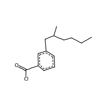 CCCCC(C)Cc1cccc(C(=O)Cl)c1